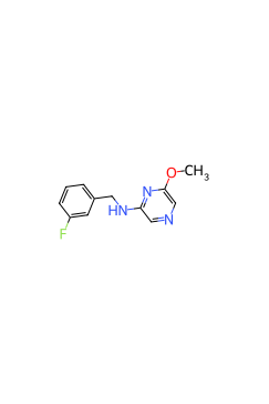 COc1cncc(NCc2cccc(F)c2)n1